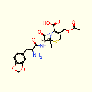 CC(=O)OCC1=C(C(=O)O)N2C(=O)[C@@H](NC(=O)C(N)Cc3ccc4c(c3)OCO4)[C@H]2SC1